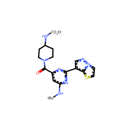 CCOC(=O)NC1CCN(C(=O)c2cc(NC(C)(C)C)nc(-c3cnn4ccsc34)n2)CC1